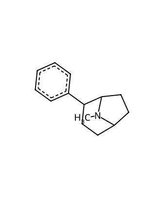 CN1C2CCC(c3ccccc3)C1CC2